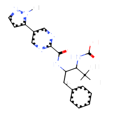 Cn1nccc1-c1cnc(C(=O)NC(Cc2ccccc2)C(NC(=O)O)C(C)(C)C)nc1